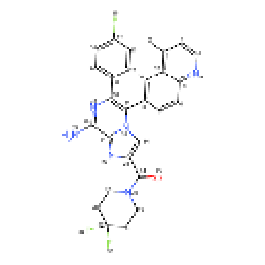 Cc1ccnc2ccc(-c3c(-c4ccc(F)cc4)nc(N)c4nc(C(=O)N5CCC(F)(F)CC5)cn34)cc12